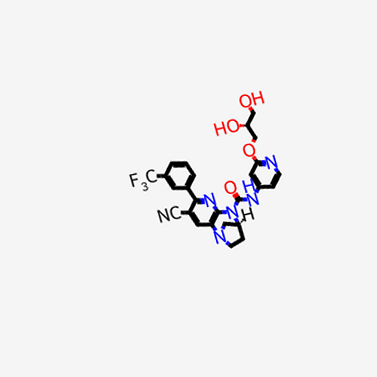 N#Cc1cc2c(nc1-c1cccc(C(F)(F)F)c1)N(C(=O)Nc1ccnc(OC[C@@H](O)CO)c1)[C@H]1CCN2C1